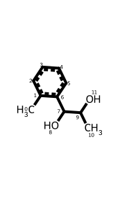 Cc1ccccc1C(O)C(C)O